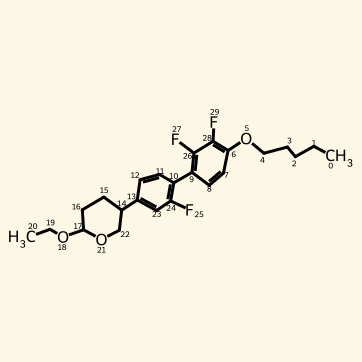 CCCCCOc1ccc(-c2ccc(C3CCC(OCC)OC3)cc2F)c(F)c1F